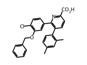 Cc1ccc(-c2ccc(C(=O)O)nc2-c2ccc(Cl)c(OCc3ccccc3)c2)c(C)c1